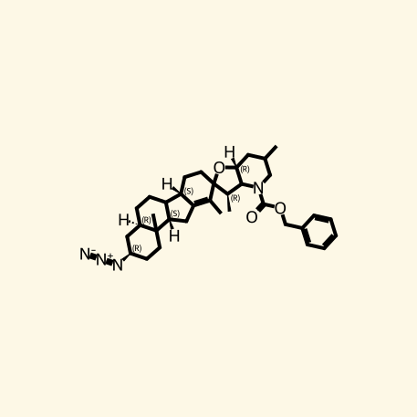 CC1=C2C[C@H]3C(CC[C@@H]4C[C@H](N=[N+]=[N-])CCC43C)[C@@H]2CCC12O[C@@H]1CC(C)CN(C(=O)OCc3ccccc3)C1[C@H]2C